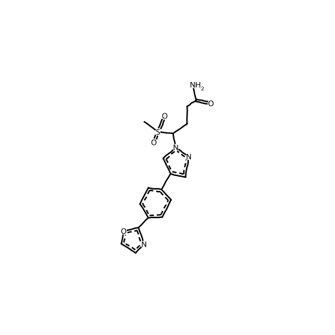 CS(=O)(=O)C(CCC(N)=O)n1cc(-c2ccc(-c3ncco3)cc2)cn1